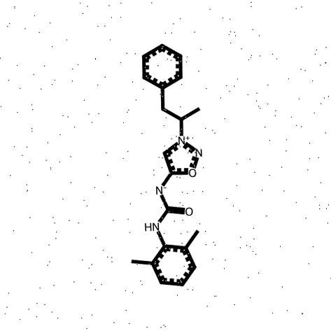 Cc1cccc(C)c1NC(=O)[N-]c1c[n+](C(C)Cc2ccccc2)no1